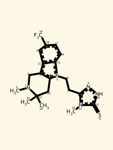 CN1Cc2c(n(CCc3n[nH]c(=S)n3C)c3ccc(C(F)(F)F)cc23)CC1(C)C